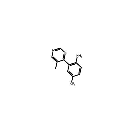 Cc1cncnc1-c1cc(C(F)(F)F)ccc1N